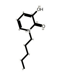 CCCCCn1cccc(O)c1=O